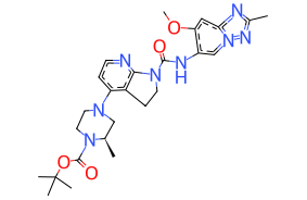 COc1cc2nc(C)nn2cc1NC(=O)N1CCc2c(N3CCN(C(=O)OC(C)(C)C)[C@H](C)C3)ccnc21